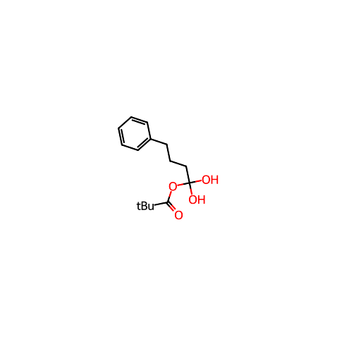 CC(C)(C)C(=O)OC(O)(O)CCCc1ccccc1